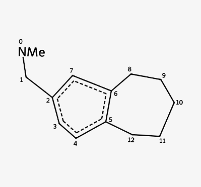 CNCc1ccc2c(c1)CCCCC2